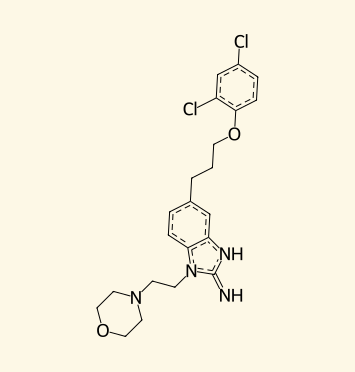 N=c1[nH]c2cc(CCCOc3ccc(Cl)cc3Cl)ccc2n1CCN1CCOCC1